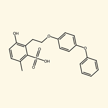 Cc1ccc(O)c(CCOc2ccc(Oc3ccccc3)cc2)c1S(=O)(=O)O